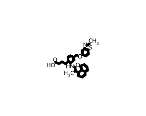 Cc1nc2cc(OCc3ccc(CCCC(=O)O)c(NC(=O)C(C)c4cccc5ccccc45)c3)ccc2s1